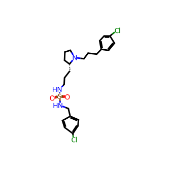 O=S(=O)(NCCC[C@@H]1CCCN1CCCc1ccc(Cl)cc1)NCc1ccc(Cl)cc1